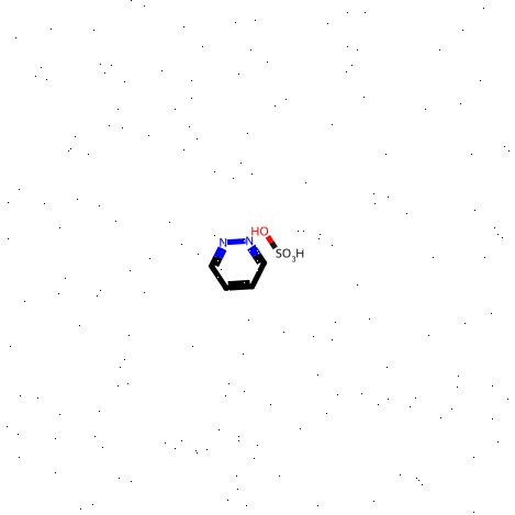 O=S(=O)(O)O.c1ccnnc1